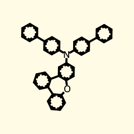 c1ccc(-c2ccc(N(c3ccc(-c4ccccc4)cc3)c3ccc4c(c3)-c3ccccc3-c3ccccc3O4)cc2)cc1